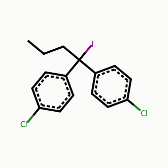 CCCC(I)(c1ccc(Cl)cc1)c1ccc(Cl)cc1